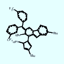 CCCC1C=C(C(C)(C)C)C=C1c1c(C(C)(C)C)c(=C(c2cccc(C(F)(F)F)c2)c2cccc(C(F)(F)F)c2)cc2c1=[C]c1cc(C(C)(C)C)ccc1-2